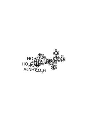 CC(=O)NC(CC(=O)O)C(=O)NC(CC(=O)O)C(=O)NC(CC(=O)O)C(=O)N(C)CCCN(CCCN1CCOCC1)C(=O)Oc1c(Cc2ccco2)nc2c(Cc3ccccc3)nc(-c3ccccc3)cn12